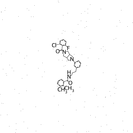 Cc1cccc(C(=O)NCCCc2cccc(N3CC4CN(C(=O)c5c(F)cccc5Cl)CC4C3)c2)c1C